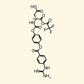 N=C(N)Nc1ccc(C(=O)Oc2ccc(OC(=O)N[C@@H](CC(=O)O)C(=O)OC(=O)C(F)(F)F)cc2)cc1